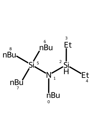 CCCCN([SiH](CC)CC)[Si](CCCC)(CCCC)CCCC